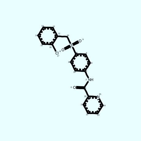 O=C(Nc1ccc(S(=O)(=O)Cc2ccccc2Cl)cc1)c1ccccn1